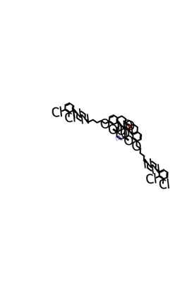 O=C(/C=C\C(=O)ON1C(=O)CCc2ccc(OCCCCN3CCN(c4cccc(Cl)c4Cl)CC3)cc21)ON1C(=O)CCc2ccc(OCCCCN3CCN(c4cccc(Cl)c4Cl)CC3)cc21